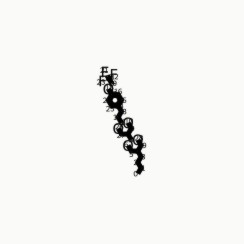 CCCCC1COC(C2COC(CCc3ccc(OCC(F)(F)F)cc3)OC2)OC1